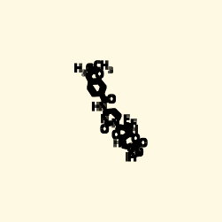 CC(C)OP1(=O)OC[C@H]2OC(n3ccc(NC(=O)c4ccc5c(c4)OC(C)(C)C5)nc3=O)C(F)(F)[C@@H]2O1